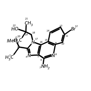 COC(C)c1nc2c(N)nc3cc(Br)ccc3c2n1CC(C)(C)O